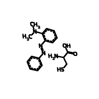 CN(C)c1ccccc1N=Nc1ccccc1.NC(CS)C(=O)O